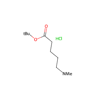 CNCCCCC(=O)OC(C)(C)C.Cl